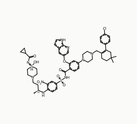 C[C@@H](CCN1CC[SH](O)(=NC(=O)C2CC2)CC1)Nc1ccc(S(=O)(=O)NC(=O)c2ccc(N3CCN(CC4=C(c5ccc(Cl)cc5)CC(C)(C)CC4)CC3)cc2Oc2cnc3[nH]ccc3c2)cc1[N+](=O)[O-]